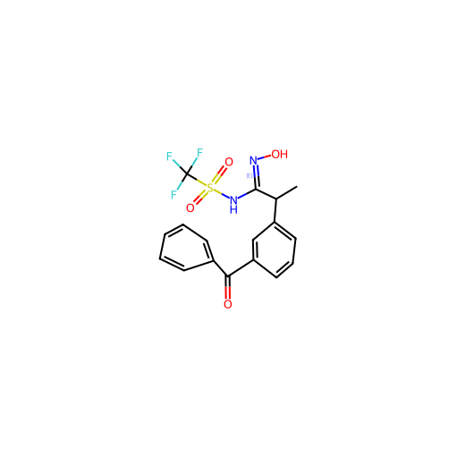 CC(/C(=N\O)NS(=O)(=O)C(F)(F)F)c1cccc(C(=O)c2ccccc2)c1